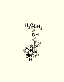 CN(C)CCCNCCCC1CCCN(CC(=O)N2c3ccccc3C(=O)Nc3cccnc32)C1